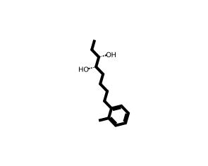 CC[C@H](O)[C@@H](O)CCCCc1ccccc1C